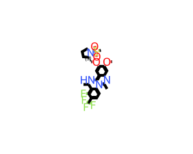 COc1cc2nc(C)nc(NC(C)c3cccc(C(F)(F)F)c3F)c2cc1OC[C@@H]1CCCN1S(C)(=O)=O